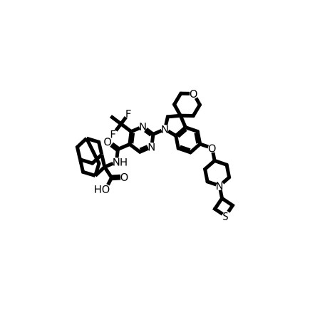 CC(F)(F)c1nc(N2CC3(CCOCC3)c3cc(OC4CCN(C5CSC5)CC4)ccc32)ncc1C(=O)NC1(C(=O)O)C2CC3CC(C2)CC1C3